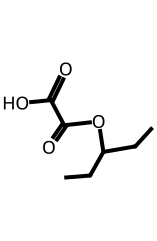 CCC(CC)OC(=O)C(=O)O